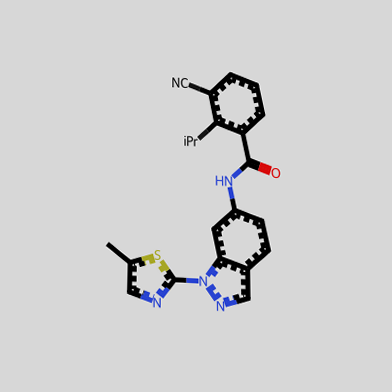 Cc1cnc(-n2ncc3ccc(NC(=O)c4cccc(C#N)c4C(C)C)cc32)s1